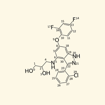 OCC(O)CNc1cc(Oc2ccc(F)cc2F)cc2[nH]nc(-c3ccccc3Cl)c12